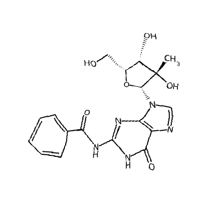 C[C@]1(O)[C@@H](O)[C@@H](CO)O[C@H]1n1cnc2c(=O)[nH]c(NC(=O)c3ccccc3)nc21